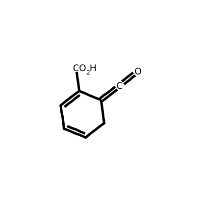 O=C=C1CC=CC=C1C(=O)O